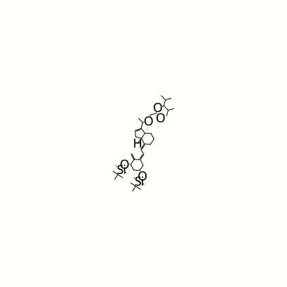 C=C1/C(=C\C=C2/CCC[C@]3(C)C(C(C)OCC(=O)OC(C(C)C)C(C)C)=CC[C@@H]23)C[C@@H](O[Si](C)(C)C(C)(C)C)C[C@@H]1O[Si](C)(C)C(C)(C)C